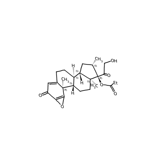 CCC(=O)O[C@]1(C(=O)CO)[C@@H](C)C[C@H]2[C@@H]3CCC4=CC(=O)C5=C(O5)[C@]4(C)[C@H]3CC[C@@]21C